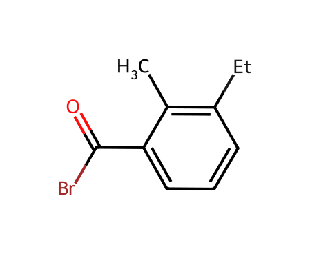 CCc1cccc(C(=O)Br)c1C